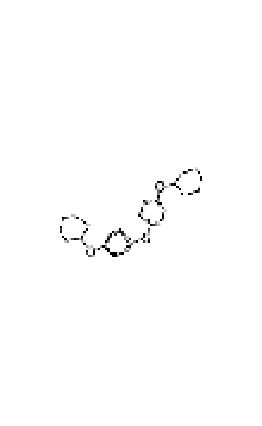 c1cc(Sc2ccc(OC3CCCCC3)cc2)ccc1OC1CCCCC1